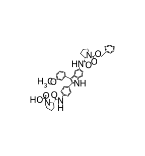 COc1cccc(-c2c(-c3ccc(NC(=O)[C@@H]4CCCN4C(=O)O)cc3)[nH]c3ccc(NC(=O)[C@@H]4CCCN4C(=O)OCc4ccccc4)cc23)c1